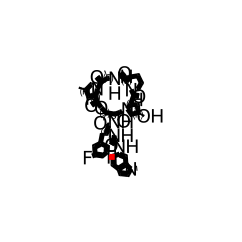 C[C@@H]1C[C@H]2C(=O)O[C@@H](C)[C@H](NC(=O)[C@H](Cc3cc(F)cc(F)c3)NC(=O)Nc3ccc4ccn(C)c4c3)C(=O)N3C[C@H](O)C[C@H]3C(=O)N3CCCC[C@H]3C(=O)N[C@@H](C)C(=O)N2C1